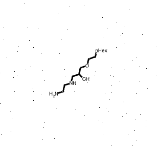 CCCCCCCCOCC(O)CNCCN